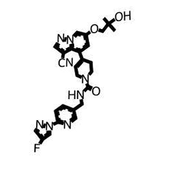 CC(C)(O)COc1cc(C2=CCN(C(=O)NCc3ccc(-n4cc(F)cn4)nc3)CC2)c2c(C#N)cnn2c1